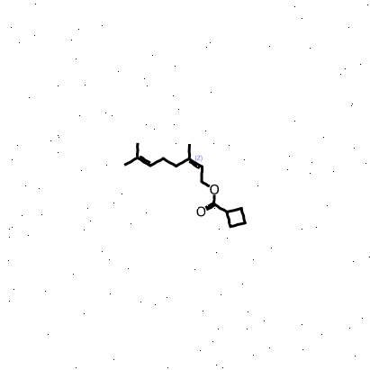 CC(C)=CCC/C(C)=C\COC(=O)C1CCC1